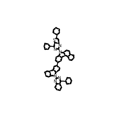 c1ccc(-c2cc3nc(-n4c5ccc(-c6ccc7c(c6)c6ccccc6n7-c6nc(-c7ccccc7)c7ccccc7n6)cc5c5c6ccccc6ccc54)nc(-c4ccccc4)c3s2)cc1